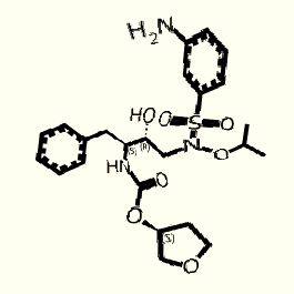 CC(C)ON(C[C@@H](O)[C@H](Cc1ccccc1)NC(=O)O[C@H]1CCOC1)S(=O)(=O)c1cccc(N)c1